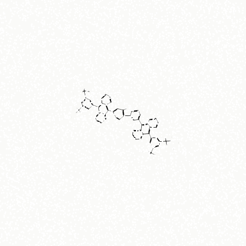 CC(C)(C)c1cc(-c2c3ccccc3c(-c3ccc4c(c3)oc3ccc(-c5c6ccccc6c(-c6cc(C(C)(C)C)cc(C(C)(C)C)c6)c6ccccc56)cc34)c3ccccc23)cc(C(C)(C)C)c1